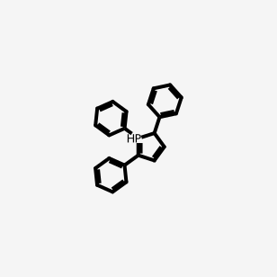 C1=CC(c2ccccc2)[PH](c2ccccc2)=C1c1ccccc1